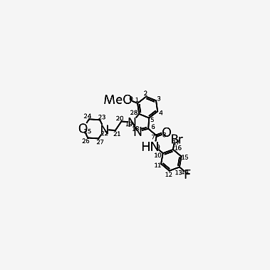 COc1cccc2c(C(=O)Nc3ccc(F)cc3Br)nn(CCN3CCOCC3)c12